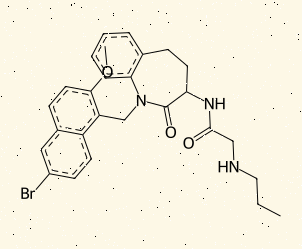 CCCNCC(=O)NC1CCc2ccccc2N(Cc2c(OC)ccc3cc(Br)ccc23)C1=O